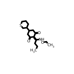 CCCC(NOCC)=C1C(=O)CC(C2CCCSC2)CC1=O